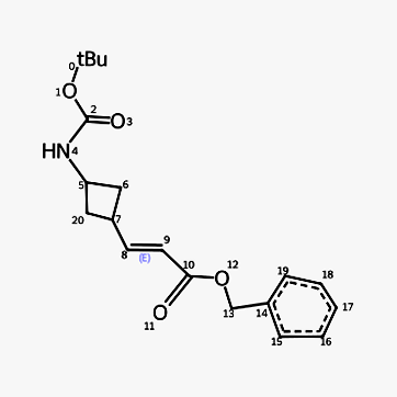 CC(C)(C)OC(=O)NC1CC(/C=C/C(=O)OCc2ccccc2)C1